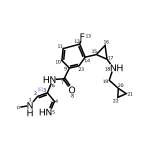 CN/C=C(\C=N)NC(=O)c1ccc(F)c(C2CC2NCC2CC2)c1